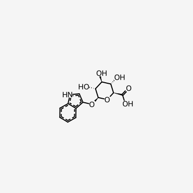 O=C(O)[C@H]1O[C@@H](Oc2c[nH]c3ccccc23)[C@H](O)[C@@H](O)[C@@H]1O